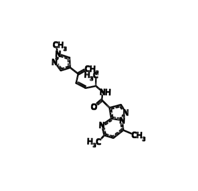 C=C(/C=C\C(C)NC(=O)c1cnn2c(C)cc(C)nc12)c1cnn(C)c1